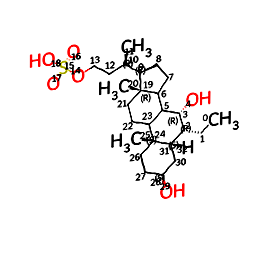 CC[C@H]1[C@@H](O)C2C3CC[C@H]([C@H](C)CCOS(=O)(=O)O)[C@@]3(C)CCC2[C@@]2(C)CC[C@H](O)C[C@@H]12